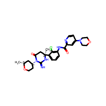 C[C@@H]1C[C@H](N2C(=N)N[C@](C)(c3cccc(NC(=O)c4cc(N5CCOCC5)ccn4)c3Cl)CC2=O)CCO1